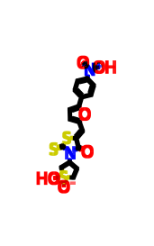 O=C1C(=Cc2ccc(-c3ccc([N+](=O)O)cc3)o2)SC(=S)N1C1CCS([O-])(O)C1